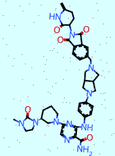 C=C1CCC(N2C(=O)c3ccc(CN4CC5CN(c6ccc(Nc7nc(N8CCC[C@@H](N9CCN(C)C9=O)C8)cnc7C(N)=O)cc6)CC5C4)cc3C2=O)C(=O)N1